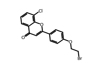 O=c1cc(-c2ccc(OCCBr)cc2)oc2c(Cl)cccc12